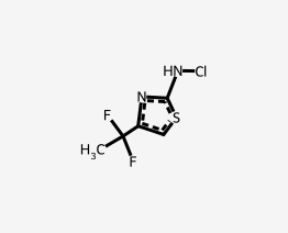 CC(F)(F)c1csc(NCl)n1